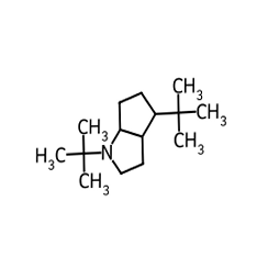 CC(C)(C)C1CCC2C1CCN2C(C)(C)C